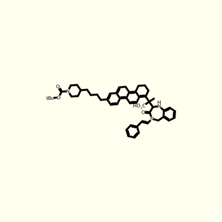 CC(C)(C)OC(=O)N1CCC(CCCCc2ccc3c(c2)=CCc2c4c(ccc2=3)=C(C(C)(C(=O)O)C2Nc3ccccc3CN(C=Cc3ccccc3)C2=O)CCC4)CC1